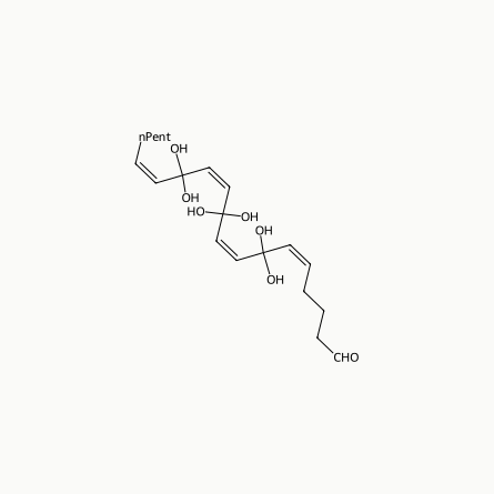 CCCCC/C=C\C(O)(O)/C=C\C(O)(O)/C=C\C(O)(O)/C=C\CCCC=O